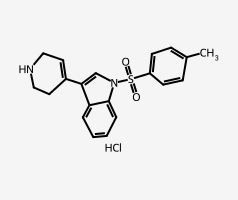 Cc1ccc(S(=O)(=O)n2cc(C3=CCNCC3)c3ccccc32)cc1.Cl